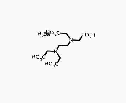 O=C(O)CN(CCN(CC(=O)O)CC(=O)O)CC(=O)O.[BaH2]